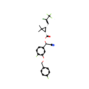 CC1(C)[C@H](C(=O)OC(C#N)c2ccc(F)c(OCc3ccc(F)cc3)c2)[C@@H]1/C=C(\Cl)C(F)(F)F